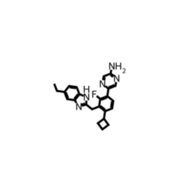 CCc1ccc2[nH]c(Cc3c(C4CCC4)ccc(-c4cnc(N)cn4)c3F)nc2c1